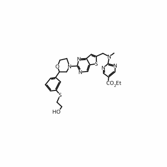 CCOC(=O)c1cnc(N(C)Cc2cc3nc(N4CCOC(c5cccc(SCCO)c5)C4)ncc3s2)nc1